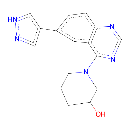 OC1CCCN(c2ncnc3ccc(-c4cn[nH]c4)cc23)C1